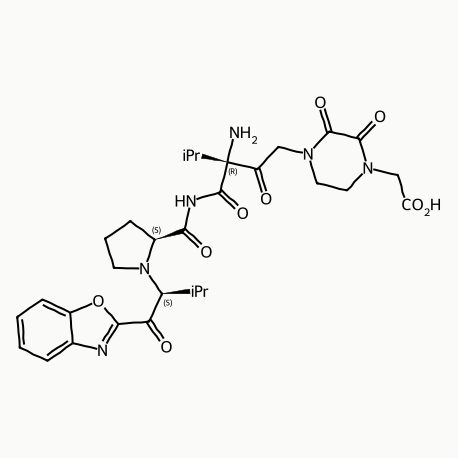 CC(C)[C@@H](C(=O)c1nc2ccccc2o1)N1CCC[C@H]1C(=O)NC(=O)[C@](N)(C(=O)CN1CCN(CC(=O)O)C(=O)C1=O)C(C)C